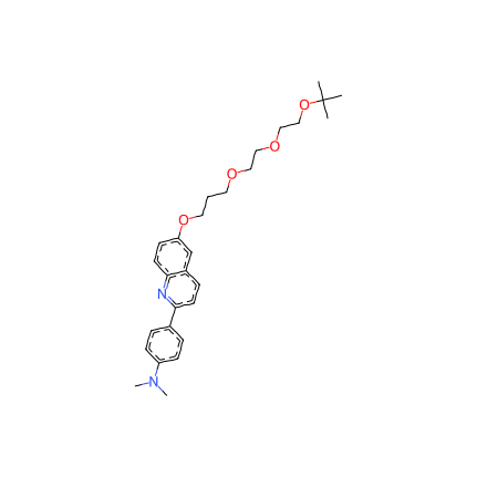 CN(C)c1ccc(-c2ccc3cc(OCCCOCCOCCOC(C)(C)C)ccc3n2)cc1